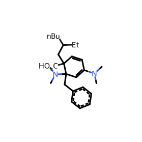 CCCCC(CC)CC1(C(=O)O)C=CC(N(C)C)=CC1(Cc1ccccc1)N(C)C